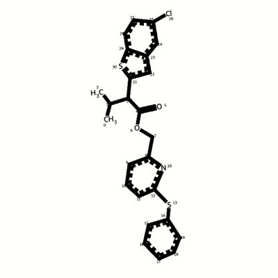 CC(C)C(C(=O)OCc1cccc(Sc2ccccc2)n1)c1cc2cc(Cl)ccc2s1